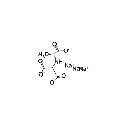 C[C@H](NC(C(=O)[O-])C(=O)[O-])C(=O)[O-].[Na+].[Na+].[Na+]